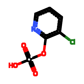 [O]=[Cr](=[O])([OH])[O]c1ncccc1Cl